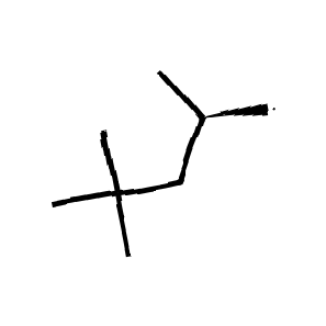 [CH2][C@H](C)CC(C)(C)C